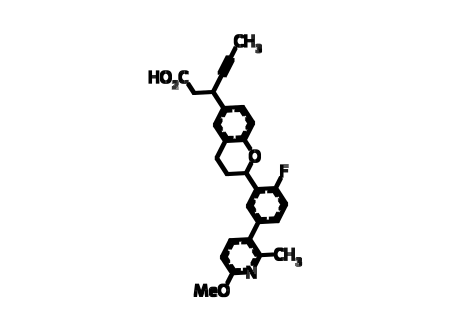 CC#CC(CC(=O)O)c1ccc2c(c1)CCC(c1cc(-c3ccc(OC)nc3C)ccc1F)O2